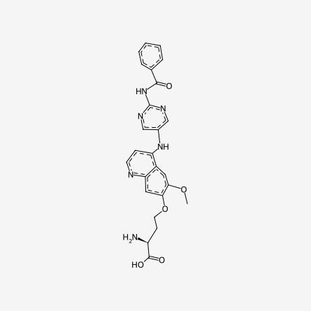 COc1cc2c(Nc3cnc(NC(=O)c4ccccc4)nc3)ccnc2cc1OCC[C@H](N)C(=O)O